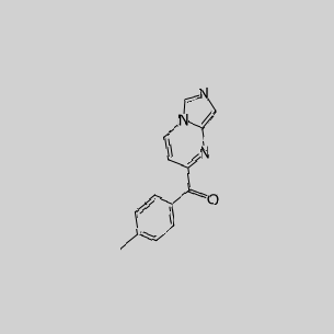 Cc1ccc(C(=O)c2ccn3cncc3n2)cc1